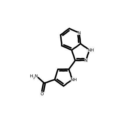 NC(=O)c1c[nH]c(-c2n[nH]c3ncccc23)c1